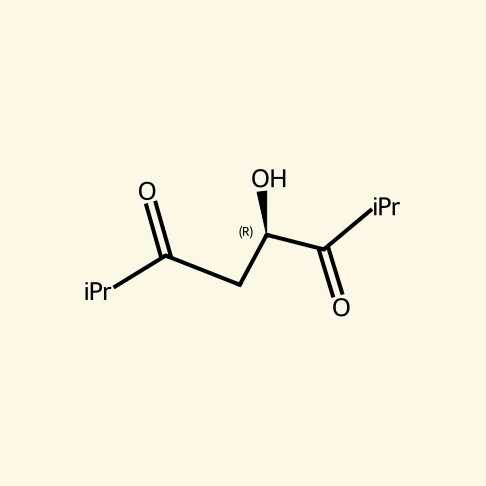 CC(C)C(=O)C[C@@H](O)C(=O)C(C)C